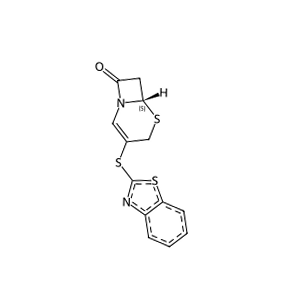 O=C1C[C@@H]2SCC(Sc3nc4ccccc4s3)=CN12